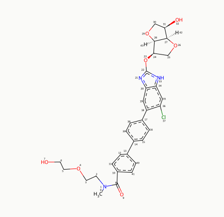 CN(CCOCCO)C(=O)c1ccc(-c2ccc(-c3cc4nc(O[C@@H]5CO[C@H]6[C@@H]5OC[C@H]6O)[nH]c4cc3Cl)cc2)cc1